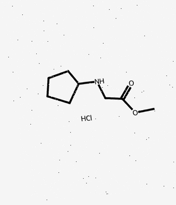 COC(=O)CNC1CCCC1.Cl